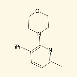 Cc1ccc(C(C)C)c(N2CCOCC2)n1